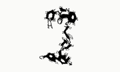 COC1(C)CCC(c2ccc(Cl)cc2)=C(CN2CCN(CCCSc3cccc4nc(C)n(C5CCCNC5)c(=O)c34)CC2)C1